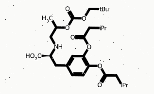 CC(C)CC(=O)Oc1ccc(C[C@H](NCC(C)OC(=O)OCC(C)(C)C)C(=O)O)cc1OC(=O)CC(C)C